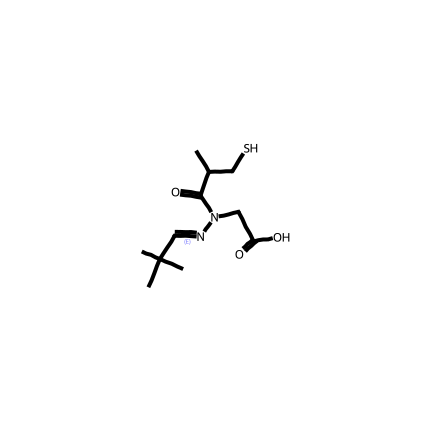 CC(CS)C(=O)N(CC(=O)O)/N=C/C(C)(C)C